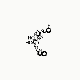 CN(Cc1cccc(F)c1)c1ncnc2c1ncn2[C@@H]1O[C@H](COCc2ccc3ccccc3n2)[C@@H](O)[C@H]1O